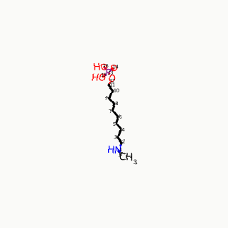 CNCCCCCCCCCCOP(=O)(O)O